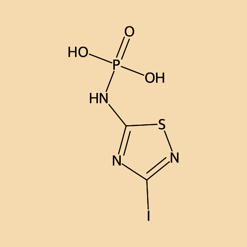 O=P(O)(O)Nc1nc(I)ns1